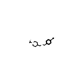 N#Cc1ccc(CNCC2CCN(C(=O)O)CC2)cc1